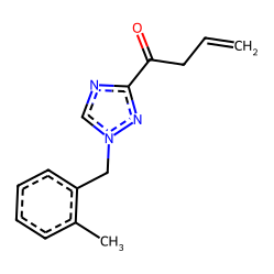 C=CCC(=O)c1ncn(Cc2ccccc2C)n1